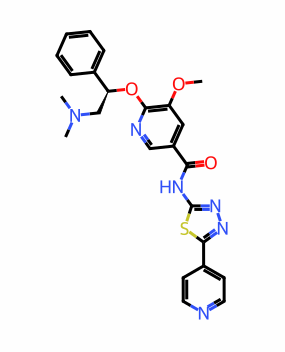 COc1cc(C(=O)Nc2nnc(-c3ccncc3)s2)cnc1O[C@@H](CN(C)C)c1ccccc1